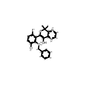 CC1(C)SC(c2c(F)ccc(Cl)c2OCc2ccccc2)=C(O)c2nccnc21